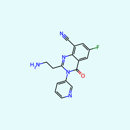 N#Cc1cc(F)cc2c(=O)n(-c3cccnc3)c(CCN)nc12